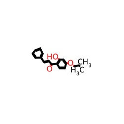 CC(C)COc1ccc(C(=O)C=Cc2ccccc2)c(O)c1